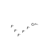 [Cr+5].[F-].[F-].[F-].[F-].[F-]